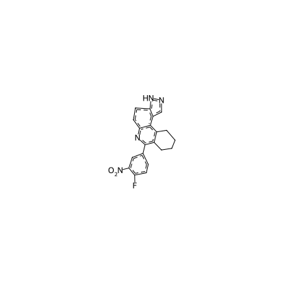 O=[N+]([O-])c1cc(-c2nc3ccc4[nH]ncc4c3c3c2CCCC3)ccc1F